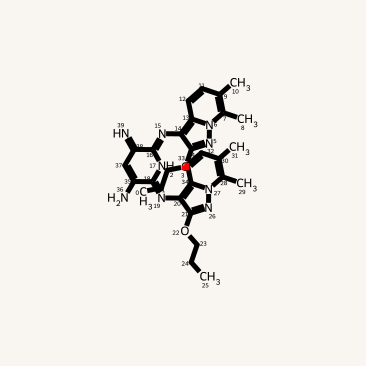 CCCOc1nn2c(C)c(C)ccc2c1/N=C1\N/C(=N\c2c(OCCC)nn3c(C)c(C)ccc23)C(N)=CC1=N